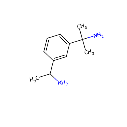 CC(N)c1cccc(C(C)(C)N)c1